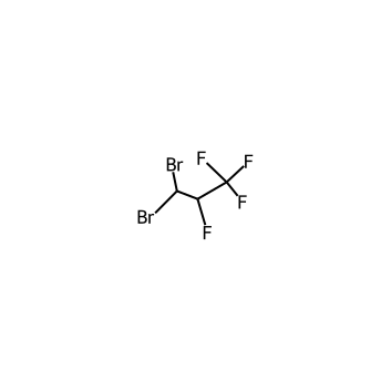 FC(C(Br)Br)C(F)(F)F